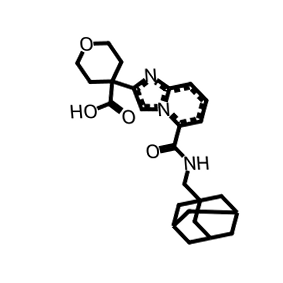 O=C(NCC12CC3CC(CC(C3)C1)C2)c1cccc2nc(C3(C(=O)O)CCOCC3)cn12